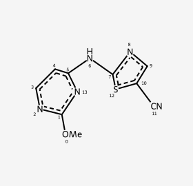 COc1nccc(Nc2ncc(C#N)s2)n1